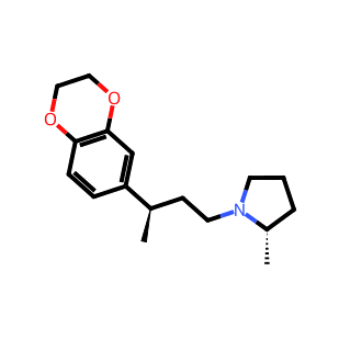 C[C@H](CCN1CCC[C@@H]1C)c1ccc2c(c1)OCCO2